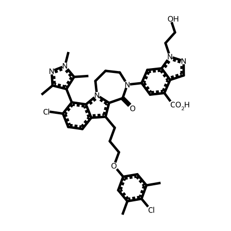 Cc1cc(OCCCc2c3n(c4c(-c5c(C)nn(C)c5C)c(Cl)ccc24)CCCN(c2cc(C(=O)O)c4cnn(CCO)c4c2)C3=O)cc(C)c1Cl